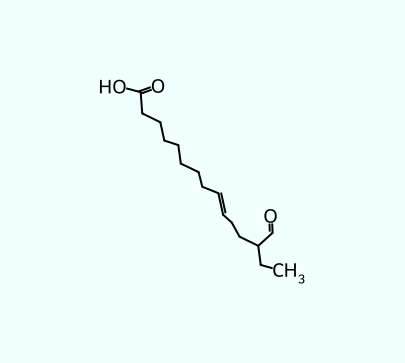 CCC(C=O)CCC=CCCCCCCCC(=O)O